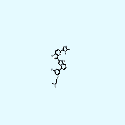 Cc1ncc(-c2ccc3[nH]nc(-c4cc5c(-c6cc(F)cc(OCCN(C)C)c6)cccc5[nH]4)c3n2)n1C